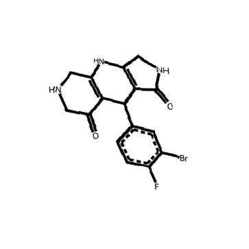 O=C1CNCC2=C1C(c1ccc(F)c(Br)c1)C1=C(CNC1=O)N2